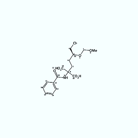 COCO[C@H](CCl)CCC(NC(=O)c1ccccc1)(C(=O)O)C(=O)O